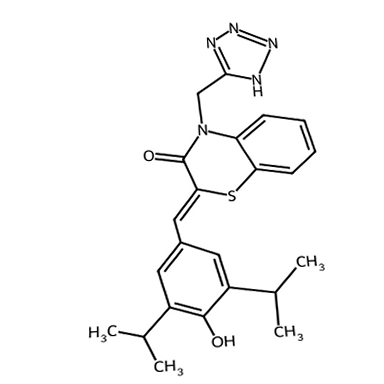 CC(C)c1cc(/C=C2\Sc3ccccc3N(Cc3nnn[nH]3)C2=O)cc(C(C)C)c1O